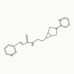 O=C(/C=C/c1cccnc1)NCCC1C2CN(c3ccccn3)CC12